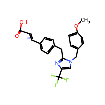 COc1ccc(Cn2cc(C(F)(F)F)nc2Cc2ccc(/C=C/C(=O)O)cc2)cc1